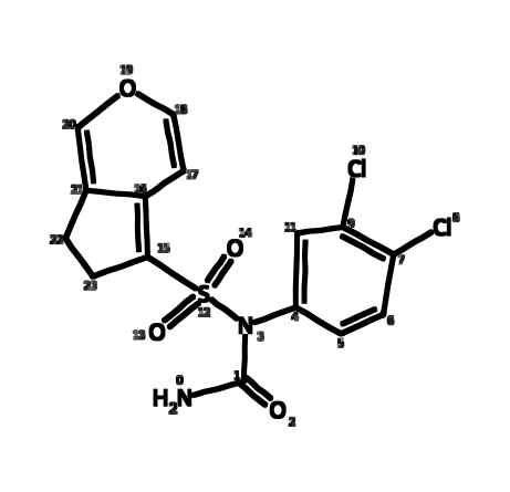 NC(=O)N(c1ccc(Cl)c(Cl)c1)S(=O)(=O)C1=C2C=COC=C2CC1